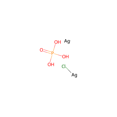 O=P(O)(O)O.[Ag].[Cl][Ag]